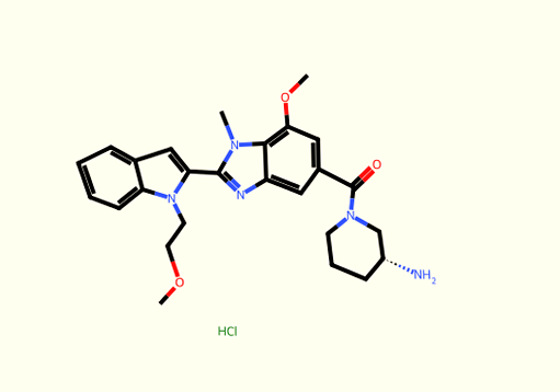 COCCn1c(-c2nc3cc(C(=O)N4CCC[C@@H](N)C4)cc(OC)c3n2C)cc2ccccc21.Cl